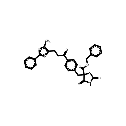 Cc1oc(-c2ccccc2)nc1CCC(=O)c1ccc(CC2(C(=O)OCc3ccccc3)SC(=O)NC2=O)cc1